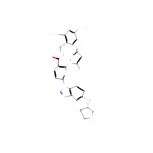 COc1ccc(CNC(=O)c2ccc(-n3cnc4cc(N[C@H]5CN(C(=O)O)C[C@H]5F)ccc43)nc2-n2nc(C#N)cc2C)c(OC)c1